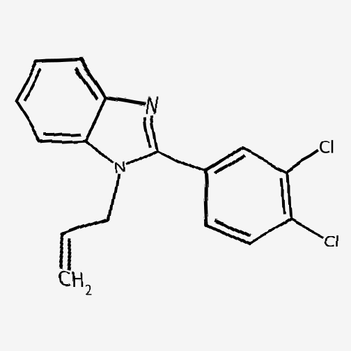 C=CCn1c(-c2ccc(Cl)c(Cl)c2)nc2ccccc21